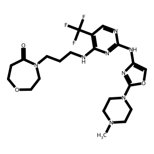 CN1CCN(c2nc(Nc3ncc(C(F)(F)F)c(NCCCN4CCOCCC4=O)n3)co2)CC1